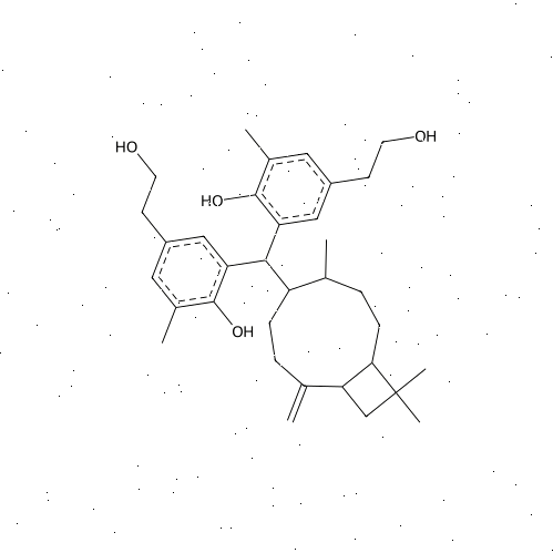 C=C1CCC(C(c2cc(CCO)cc(C)c2O)c2cc(CCO)cc(C)c2O)C(C)CCC2C1CC2(C)C